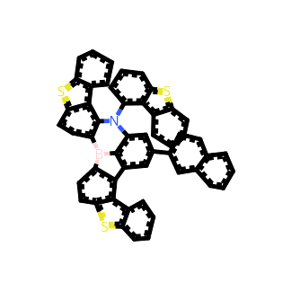 c1ccc2cc(-c3cc4c5c(c3)N(c3cccc6sc7ccccc7c36)c3c(ccc6sc7ccccc7c36)B5c3ccc5sc6ccccc6c5c3-4)ccc2c1